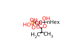 C=C(C)C(=O)OC(C)(O)CCCCCC.O=P(O)(O)O